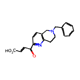 O=C(O)/C=C/C(=O)c1ccc2c(n1)CCN(Cc1ccccc1)C2